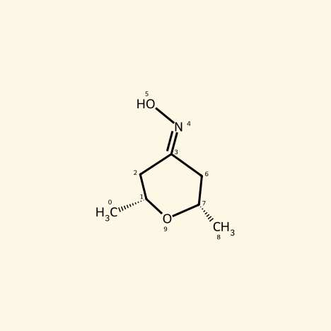 C[C@@H]1C/C(=N\O)C[C@H](C)O1